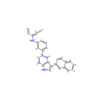 C=CC(=C=O)Nc1cccc(-c2cnc3[nH]cc(/C(C)=C/c4ccccc4CCC)c3n2)c1